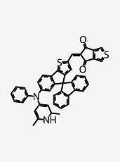 CC1=CC(N(c2ccccc2)c2ccc3c(c2)C2(c4ccccc4-c4ccccc42)c2cc(C=C4C(=O)c5cscc5C4=O)sc2-3)=CC(C)N1